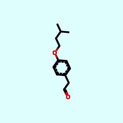 CC(C)CCOc1ccc(CC=O)cc1